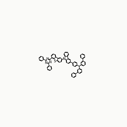 c1ccc(-c2cccc(C(c3ccc(-c4ccc5c(c4)c4ccccc4n5-c4ccc5sc6c(-c7nc(-c8ccccc8)nc(-c8ccccc8)n7)cccc6c5c4)cc3)c3cccc(-c4ccccc4)c3)c2)cc1